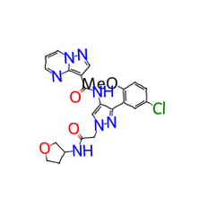 COc1ccc(Cl)cc1-c1nn(CC(=O)NC2CCOC2)cc1NC(=O)c1cnn2cccnc12